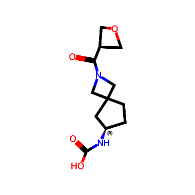 O=C(O)N[C@@H]1CCC2(C1)CN(C(=O)C1COC1)C2